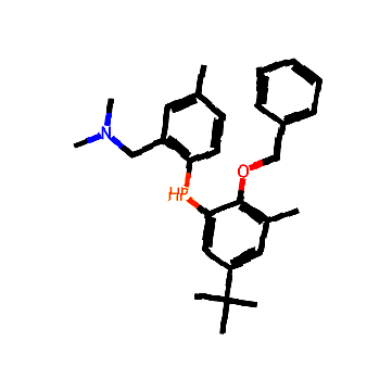 Cc1ccc(Pc2cc(C(C)(C)C)cc(C)c2OCc2ccccc2)c(CN(C)C)c1